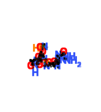 Cc1cn([C@H]2CN(CP(=O)(OC[C@@H]3CN(C)C[C@H](n4cnc5c(=O)[nH]c(N)nc54)O3)N(C)C)C[C@@H](CO[PH](=O)N(C)C)O2)c(=O)[nH]c1=O